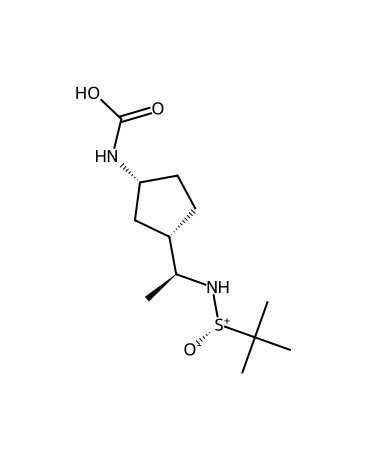 C[C@H](N[S@@+]([O-])C(C)(C)C)[C@H]1CC[C@@H](NC(=O)O)C1